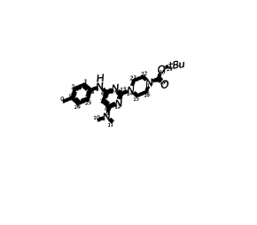 Cc1ccc(Nc2cc(N(C)C)nc(N3CCN(C(=O)OC(C)(C)C)CC3)n2)cc1